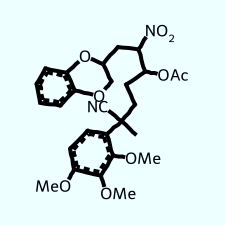 COc1ccc(C(C)(C#N)CCC(OC(C)=O)C(CC2COc3ccccc3O2)[N+](=O)[O-])c(OC)c1OC